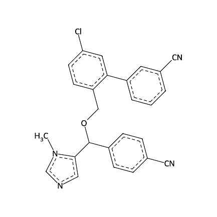 Cn1cncc1C(OCc1ccc(Cl)cc1-c1cccc(C#N)c1)c1ccc(C#N)cc1